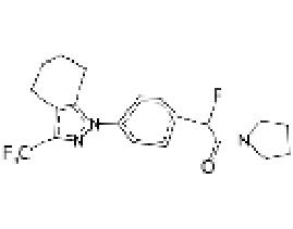 O=C(C(F)c1ccc(-n2nc(C(F)(F)F)c3c2CCCC3)cc1)N1CCCC1